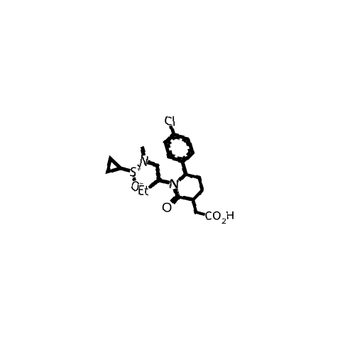 CCC(CN(C)[S+]([O-])C1CC1)N1C(=O)C(CC(=O)O)CCC1c1ccc(Cl)cc1